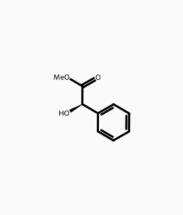 COC(=O)[C@H](O)c1ccccc1